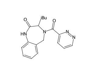 CCC(C)C1C(=O)Nc2ccccc2CN1C(=O)c1cccnn1